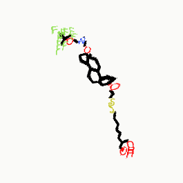 CN(CCOC1CCC2C3CCc4cc(OCCCSSCCCCCCC(CO)CO)ccc4C3CCC12C)CCOC(C(F)(F)F)(C(F)(F)F)C(F)(F)F